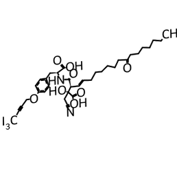 CC#CCOc1ccc(C[C@H](NC(=O)[C@@H](/C=C/CCCCCCC(=O)CCCCCCC)[C@@](O)(CC#N)C(=O)O)C(=O)O)cc1